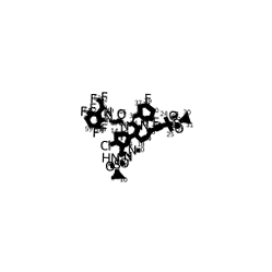 Cn1nc(NS(=O)(=O)C2CC2)c2c(Cl)ccc(-c3ccc(C#CC(C)(C)S(=O)(=O)C4CC4)nc3[C@H](Cc3cc(F)cc(F)c3)NC(=O)Cn3nc(C(F)F)c4c3C(F)(F)CCC4(F)F)c21